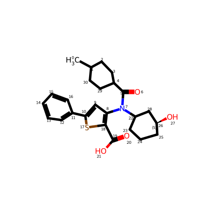 CC1CCC(C(=O)N(c2cc(-c3ccccc3)sc2C(=O)O)C2CCC[C@H](O)C2)CC1